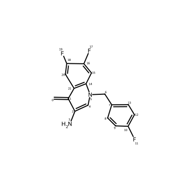 C=C1C(N)=CN(Cc2ccc(F)cc2)c2cc(F)c(F)cc21